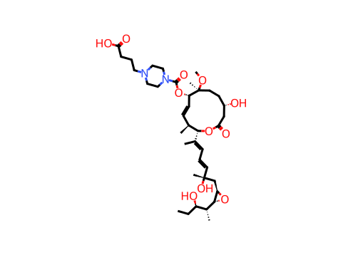 CC[C@@H](O)[C@@H](C)[C@H]1O[C@@H]1C[C@](C)(O)/C=C/C=C(\C)[C@H]1OC(=O)C[C@@H](O)CC[C@](C)(OC)[C@@H](OC(=O)N2CCN(CCCC(=O)O)CC2)/C=C/[C@@H]1C